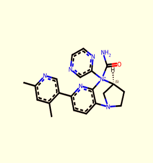 Cc1cc(C)c(-c2ccc3c(n2)[N+](C(N)=O)(c2cnccn2)[C@H]2CCN3C2)cn1